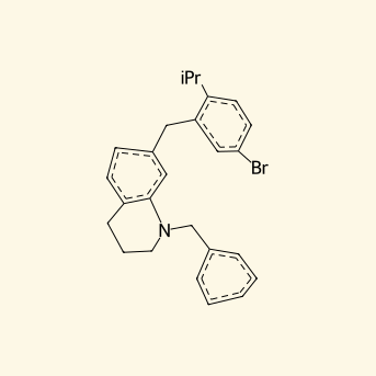 CC(C)c1ccc(Br)cc1Cc1ccc2c(c1)N(Cc1ccccc1)CCC2